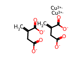 C=C(CC(=O)[O-])C(=O)[O-].C=C(CC(=O)[O-])C(=O)[O-].[Cu+2].[Cu+2]